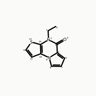 CCn1c(=O)c2cccn2c2ccsc21